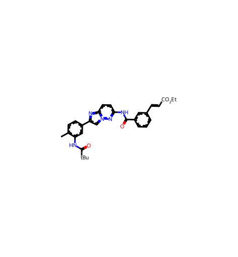 CCOC(=O)/C=C/c1cccc(C(=O)Nc2ccc3nc(-c4ccc(C)c(NC(=O)C(C)(C)C)c4)cn3n2)c1